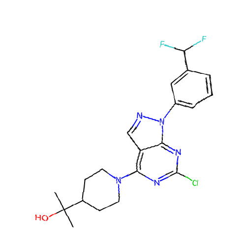 CC(C)(O)C1CCN(c2nc(Cl)nc3c2cnn3-c2cccc(C(F)F)c2)CC1